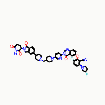 N#Cc1c(N2CC[C@@H](F)C2)ccc(F)c1Oc1ccc2ncn(-c3ccc(N4CCC(CN5CCC(c6ccc7c(c6)CN(C6CCC(=O)NC6=O)C7=O)CC5)CC4)cn3)c(=O)c2c1